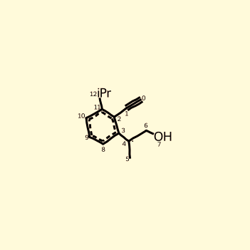 C#Cc1c([C](C)CO)cccc1C(C)C